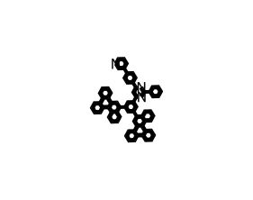 c1ccc(-c2nc(-c3ccc(-c4cccnc4)cc3)cc(-c3cc(-c4cc5c6ccccc6c6ccccc6c5c5ccccc45)cc(-c4cc5c6ccccc6c6ccccc6c5c5ccccc45)c3)n2)cc1